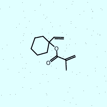 C=CC1(OC(=O)C(=C)C)CCCCC1